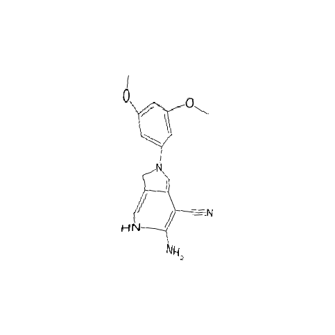 COc1cc(OC)cc(N2C=C3C(=CNC(N)=C3C#N)C2)c1